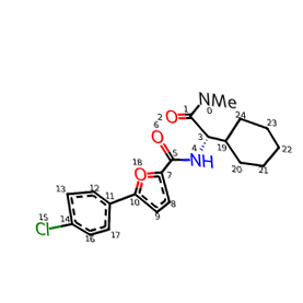 CNC(=O)[C@@H](NC(=O)c1ccc(-c2ccc(Cl)cc2)o1)C1CCCCC1